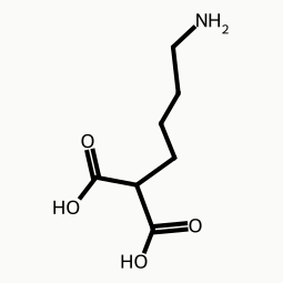 NCCCCC(C(=O)O)C(=O)O